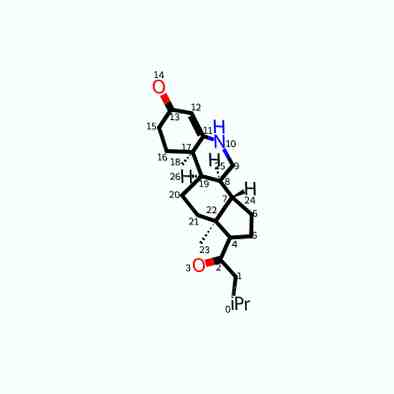 CC(C)CC(=O)C1CC[C@H]2[C@@H]3CNC4=CC(=O)CC[C@]4(C)[C@@H]3CC[C@]12C